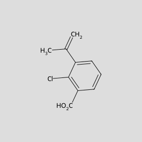 C=C(C)c1cccc(C(=O)O)c1Cl